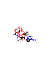 CC(C)OC(=O)[C@H](C)NP(=O)(OCCS(C)(=O)=O)OC1[C@@]2(C#N)O[C@@H](c3ccc4c(N)ncnn34)[C@H](OC(=O)C(C)C)[C@@]12OC(=O)C(C)C